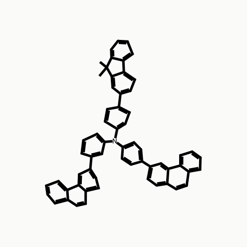 CC1(C)c2ccccc2-c2ccc(-c3ccc(N(c4ccc(-c5ccc6ccc7ccccc7c6c5)cc4)c4cccc(-c5ccc6ccc7ccccc7c6c5)c4)cc3)cc21